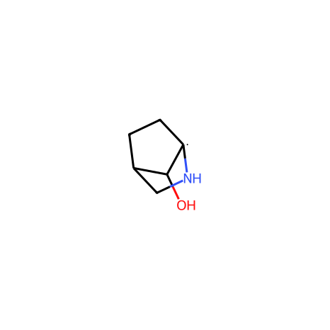 OC1[C]2CCC1CN2